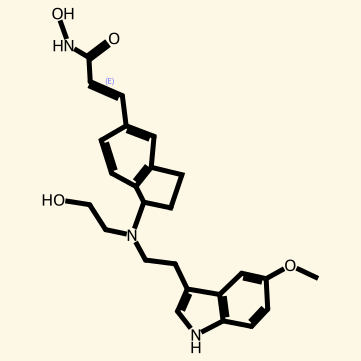 COc1ccc2[nH]cc(CCN(CCO)C3CCc4cc(/C=C/C(=O)NO)ccc43)c2c1